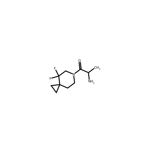 CC(N)C(=O)N1CCC2(CC2)C(F)(F)C1